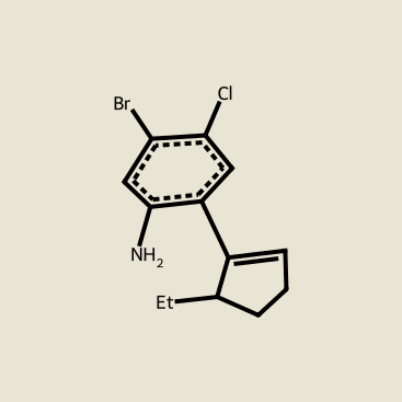 CCC1CCC=C1c1cc(Cl)c(Br)cc1N